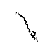 CCC#CCCCCCCCC[n+]1cccc(C)c1